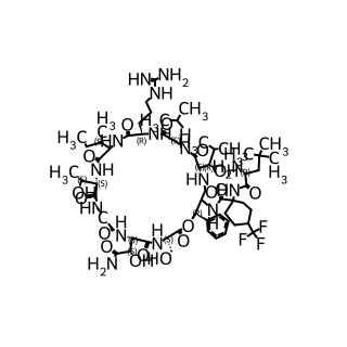 CC[C@H](C)C1NC(=O)[C@@H](CCCNC(=N)N)NC(=O)[C@H](CC(C)C)NC(=O)[C@H]([C@H](O)C(C)C)NC(=O)C(NC(=O)C2(NC(=O)[C@H](N)CC(C)(C)C)CCC(C(F)(F)F)CC2)[C@@H](c2ccccc2)OC(=O)[C@H](CO)NC(=O)[C@H]([C@H](O)C(N)=O)NC(=O)CNC(=O)[C@H]([C@H](C)O)NC1=O